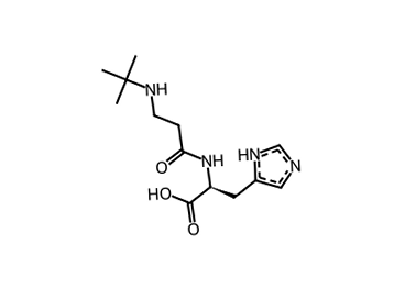 CC(C)(C)NCCC(=O)N[C@@H](Cc1cnc[nH]1)C(=O)O